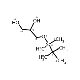 CC(C)(C)[Si](C)(C)OCC(O)CO